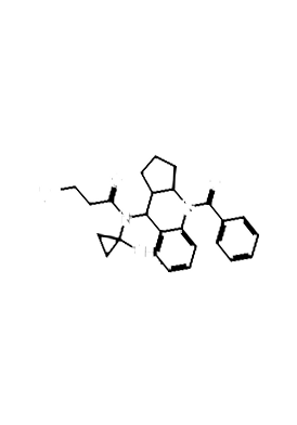 CC1(N(C(=O)CCC(=O)O)C2c3ccccc3N(C(=O)c3ccccc3)C3CCCC32)CC1